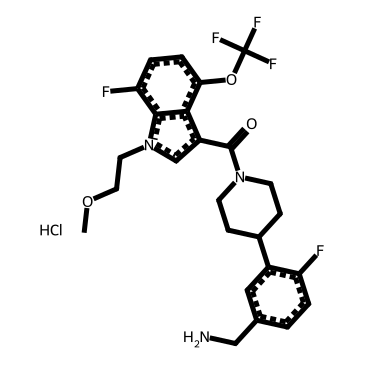 COCCn1cc(C(=O)N2CCC(c3cc(CN)ccc3F)CC2)c2c(OC(F)(F)F)ccc(F)c21.Cl